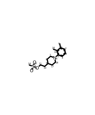 Cc1cccc(N2CCC(CCOS(C)(=O)=O)CC2)c1C